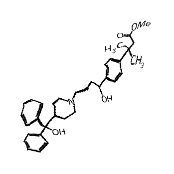 COC(=O)CC(C)(C)c1ccc(C(O)CCCN2CCC(C(O)(c3ccccc3)c3ccccc3)CC2)cc1